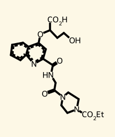 CCOC(=O)N1CCN(C(=O)CNC(=O)c2cc(OC(CCO)C(=O)O)c3ccccc3n2)CC1